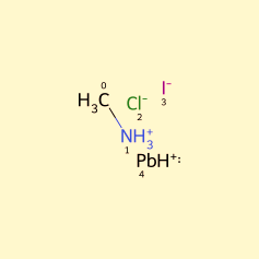 C[NH3+].[Cl-].[I-].[PbH+]